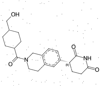 O=C1CC[C@H](c2ccc3c(c2)CCN(C(=O)C2CCC(CO)CC2)C3)C(=O)N1